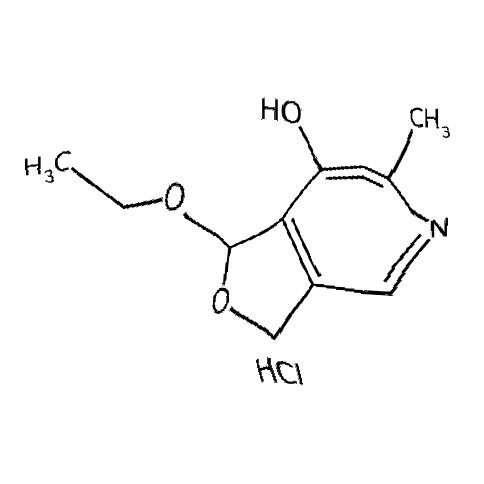 CCOC1OCc2cnc(C)c(O)c21.Cl